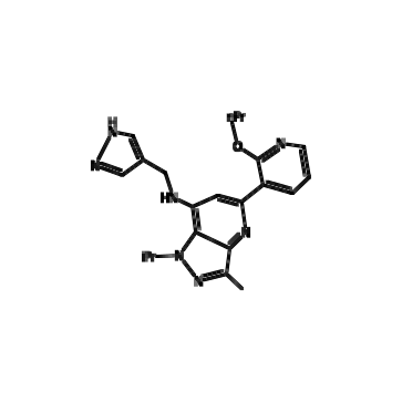 CCCOc1ncccc1-c1cc(NCc2cn[nH]c2)c2c(n1)c(C)nn2C(C)C